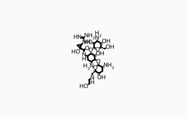 N=C(N)NC1CC1(O)C(=O)N[C@@H]1C[C@H](N)C(O[C@H]2O[C@H](CNCCO)[C@@H](O)C[C@H]2N)[C@H](O)[C@H]1O[C@H]1O[C@H](CO)[C@@H](O)[C@H](N)[C@H]1O